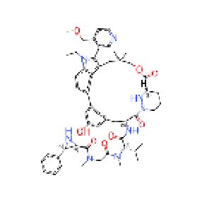 CCn1c(-c2cnccc2COC)c2c3cc(ccc31)-c1cc(O)cc(c1)C[C@H](NC(=O)[C@H](C(C)C)N(C)C(=O)CN(C)C(=O)[C@@H]1N[C@H]1c1ccccc1)C(=O)N1CCC[C@H](N1)C(=O)OCC(C)(C)C2